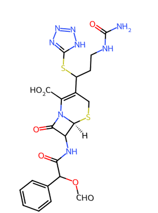 NC(=O)NCCC(Sc1nnn[nH]1)C1=C(C(=O)O)N2C(=O)C(NC(=O)C(OC=O)c3ccccc3)[C@@H]2SC1